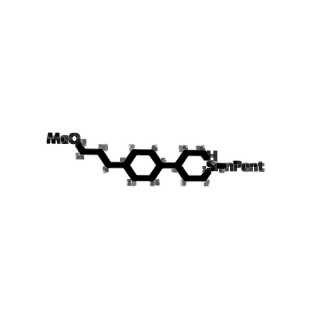 CCCCC[SiH]1CCC(C2CCC(CCCOC)CC2)CC1